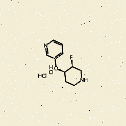 Cl.Cl.F[C@H]1CNCC[C@H]1Oc1cccnc1